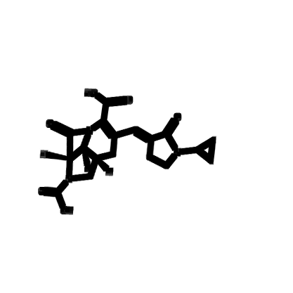 O=C(O)C1=C(/C=C2\CCN(C3CC3)C2=O)C[C@@H]2CN(C(=O)O)[C@@H]3C(=O)N1[C@H]23